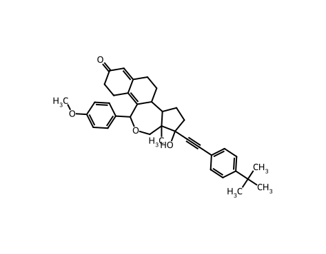 COc1ccc(C2OCC3(C)C(CCC3(O)C#Cc3ccc(C(C)(C)C)cc3)C3CCC4=CC(=O)CCC4=C23)cc1